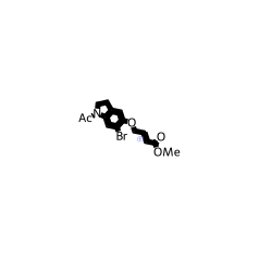 COC(=O)/C=C/COc1cc2c(cc1Br)N(C(C)=O)CC2